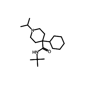 CC(C)N1CCC(C(=O)NC(C)(C)C)(C2CCCCC2)CC1